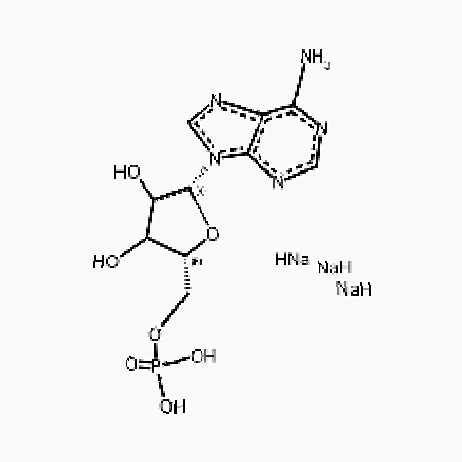 Nc1ncnc2c1ncn2[C@@H]1O[C@H](COP(=O)(O)O)C(O)C1O.[NaH].[NaH].[NaH]